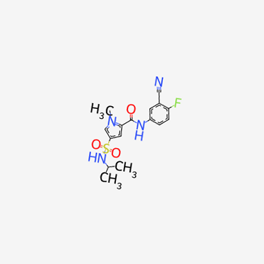 CC(C)NS(=O)(=O)c1cc(C(=O)Nc2ccc(F)c(C#N)c2)n(C)c1